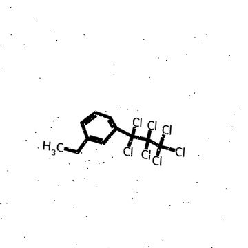 C[CH]c1cccc(C(Cl)(Cl)C(Cl)(Cl)C(Cl)(Cl)Cl)c1